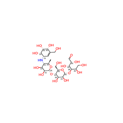 C[C@H]1O[C@H](O[C@H]2[C@H](O)[C@H](O)[C@@H](O[C@@H]([C@H](O)[C@@H](O)C=O)[C@H](O)CO)O[C@@H]2CO)[C@@H](O)[C@@H](O)[C@@H]1N[C@H]1C=C(CO)[C@@H](O)[C@@H](O)[C@H]1O